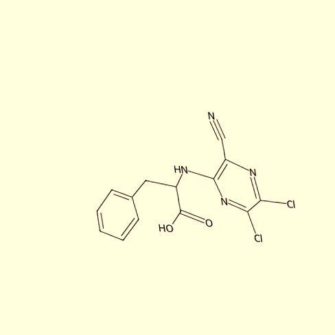 N#Cc1nc(Cl)c(Cl)nc1NC(Cc1ccccc1)C(=O)O